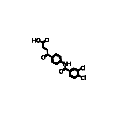 O=C(O)CCC(=O)c1ccc(NC(=O)c2ccc(Cl)c(Cl)c2)cc1